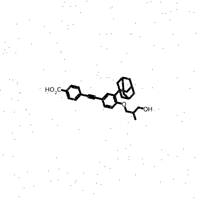 CC(CO)COc1ccc(C#Cc2ccc(C(=O)O)cc2)cc1C12CC3CC(CC(C3)C1)C2